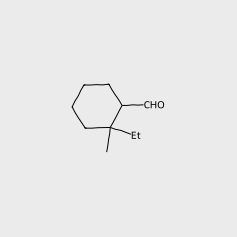 CCC1(C)CCCCC1C=O